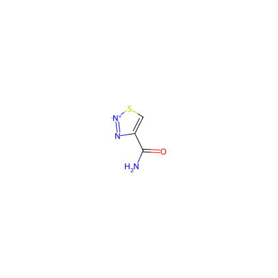 NC(=O)C1=CS[N+]=N1